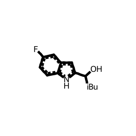 CCC(C)C(O)c1cc2cc(F)ccc2[nH]1